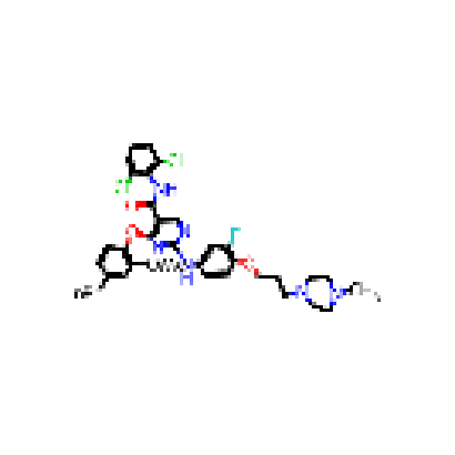 CCCc1ccc(Oc2nc(Nc3ccc(OCCCN4CCN(C)CC4)c(F)c3)ncc2C(=O)Nc2c(Cl)cccc2Cl)c(OC)c1